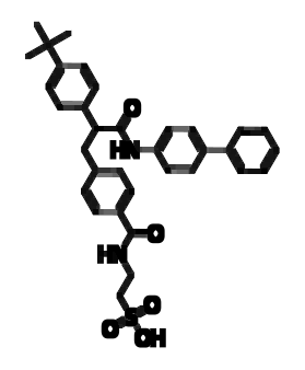 CC(C)(C)c1ccc(C(Cc2ccc(C(=O)NCCS(=O)(=O)O)cc2)C(=O)Nc2ccc(-c3ccccc3)cc2)cc1